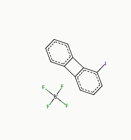 F[B-](F)(F)F.Ic1cccc2c1-c1ccccc1-2